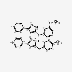 COc1cccc(Cc2cc(-c3ccncc3)n[nH]2)c1.Cc1ccc(Cc2cc(-c3ccncc3)n[nH]2)cc1